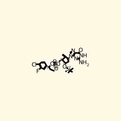 C=C1[C@H](CO[P@]2(=O)OCC[C@H](c3ccc(Cl)c(F)c3)O2)[C@@H](O[Si](C)(C)C(C)(C)C)C[C@@H]1n1cnc2c(=O)[nH]c(N)nc21